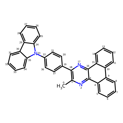 Cc1nc2c3ccccc3c3ccccc3c2nc1-c1ccc(-n2c3ccccc3c3ccccc32)cc1